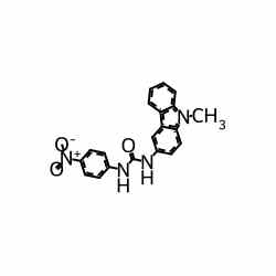 Cn1c2ccccc2c2cc(NC(=O)Nc3ccc([N+](=O)[O-])cc3)ccc21